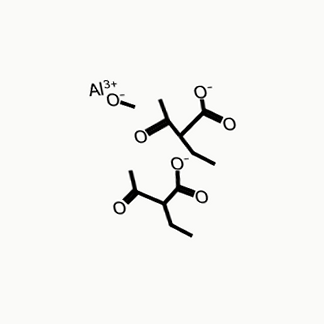 CCC(C(C)=O)C(=O)[O-].CCC(C(C)=O)C(=O)[O-].C[O-].[Al+3]